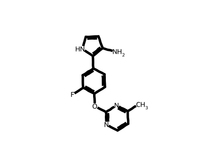 Cc1ccnc(Oc2ccc(-c3[nH]ccc3N)cc2F)n1